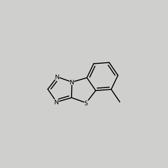 Cc1cccc2c1sc1ncnn12